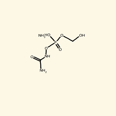 N.NC(=O)NOP(=O)(O)OCO